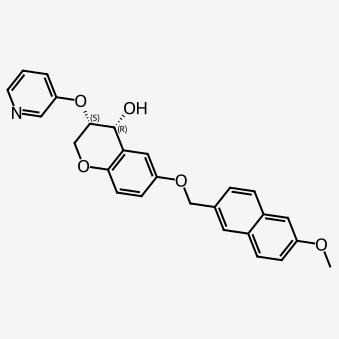 COc1ccc2cc(COc3ccc4c(c3)[C@@H](O)[C@@H](Oc3cccnc3)CO4)ccc2c1